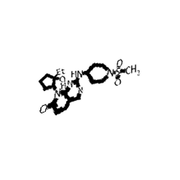 CC[C@]1(O)CCCC1n1c(=O)ccc2cnc(NC3CCN(S(C)(=O)=O)CC3)nc21